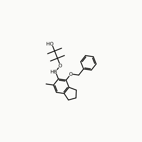 Cc1cc2c(c(OCc3ccccc3)c1BOC(C)(C)C(C)(C)O)CCC2